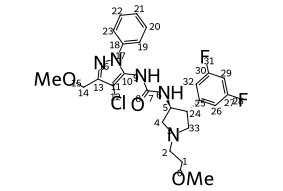 COCCN1C[C@@H](NC(=O)Nc2c(Cl)c(COC)nn2-c2ccccc2)[C@H](c2cc(F)cc(F)c2)C1